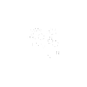 COc1cc(-c2cc3cc(CN(C)CCN(C)C)ccc3n2C(=O)OC(C)(C)C)c2c(c1OS(C)(=O)=O)CNC2=O